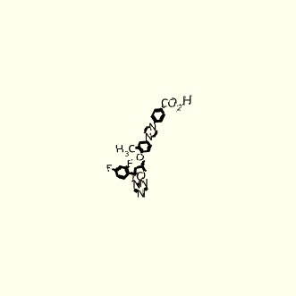 Cc1cc(N2CCN(c3ccc(C(=O)O)cc3)CC2)ccc1OCC1CO[C@@](Cn2cncn2)(c2ccc(F)cc2F)C1